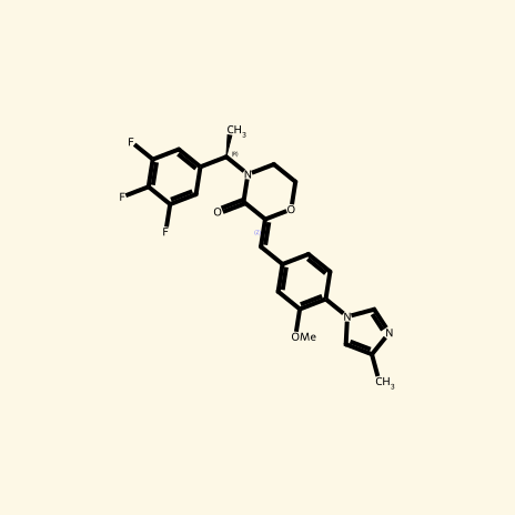 COc1cc(/C=C2\OCCN([C@H](C)c3cc(F)c(F)c(F)c3)C2=O)ccc1-n1cnc(C)c1